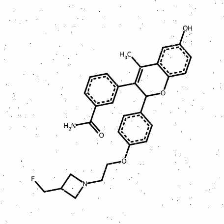 CC1=C(c2cccc(C(N)=O)c2)C(c2ccc(OCCN3CC(CF)C3)cc2)Oc2ccc(O)cc21